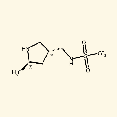 C[C@@H]1C[C@@H](CNS(=O)(=O)C(F)(F)F)CN1